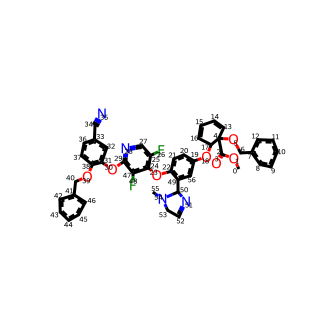 COC(=O)C1(OCc2ccccc2)C=CC=CC1Oc1ccc(Oc2c(F)cnc(Oc3cc(C#N)ccc3OCc3ccccc3)c2F)c(C2N=CCN2C)c1